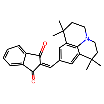 CC1(C)CCN2CCC(C)(C)c3cc(C=C4C(=O)c5ccccc5C4=O)cc1c32